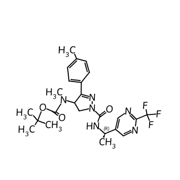 Cc1ccc(C2=NN(C(=O)N[C@H](C)c3cnc(C(F)(F)F)nc3)CC2N(C)C(=O)OC(C)(C)C)cc1